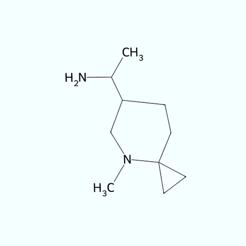 CC(N)C1CCC2(CC2)N(C)C1